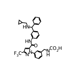 O=C(O)NCc1cccc(-n2nc(C(F)(F)F)cc2C(=O)Nc2cccc(C(NCC3CC3)c3ccccc3)c2)c1